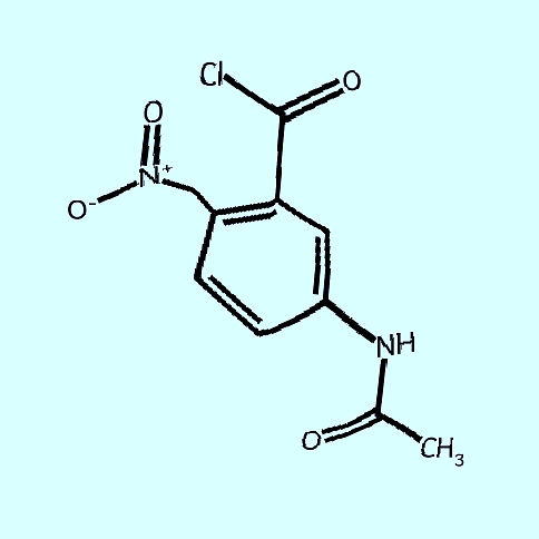 CC(=O)Nc1ccc([N+](=O)[O-])c(C(=O)Cl)c1